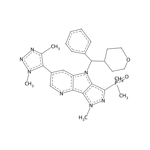 Cc1nnn(C)c1-c1cnc2c3c(c(P(C)(C)=O)nn3C)n(C(c3ccccc3)C3CCOCC3)c2c1